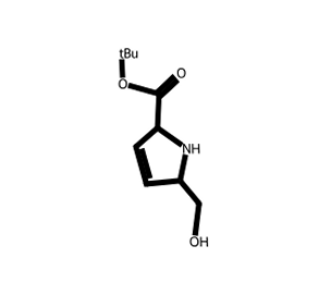 CC(C)(C)OC(=O)C1C=CC(CO)N1